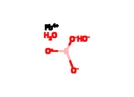 O.[O-]B([O-])[O-].[OH-].[Pb+4]